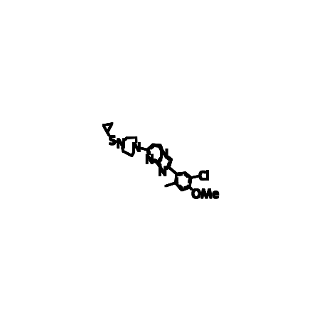 COc1cc(C)c(-c2cn3ccc(N4CCN(SC5CC5)CC4)nc3n2)cc1Cl